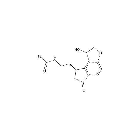 CCC(=O)NCC[C@@H]1CC(=O)c2ccc3c(c21)C(O)CO3